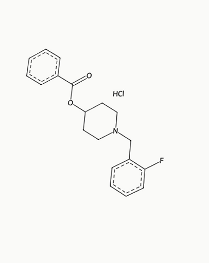 Cl.O=C(OC1CCN(Cc2ccccc2F)CC1)c1ccccc1